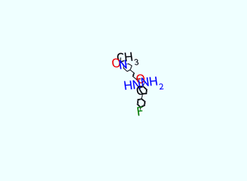 CC(=O)N1CCC(/C=C/C(=O)Nc2cc(-c3ccc(F)cc3)ccc2N)CC1